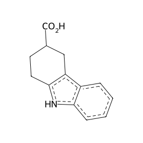 O=C(O)C1CCc2[nH]c3ccccc3c2C1